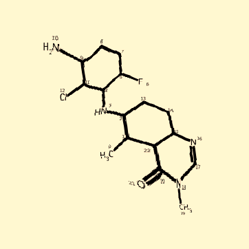 CC1C(NC2C(F)CCC(N)C2Cl)CCC2N=CN(C)C(=O)C21